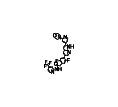 O=C(Cc1cc(F)c(-c2cnc3[nH]c(-c4ccnc(N5CCOCC5)c4)cc3c2)cc1F)Nc1cc(C(F)(F)F)ccn1